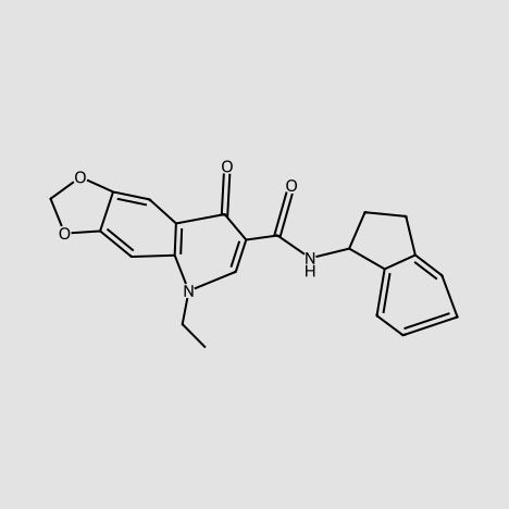 CCn1cc(C(=O)NC2CCc3ccccc32)c(=O)c2cc3c(cc21)OCO3